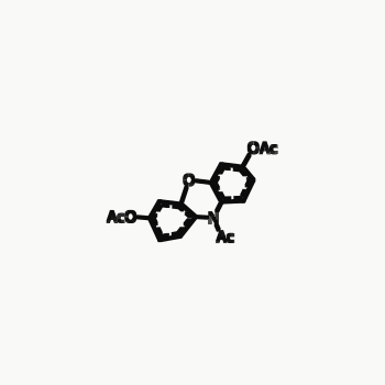 CC(=O)Oc1ccc2c(c1)Oc1cc(OC(C)=O)ccc1N2C(C)=O